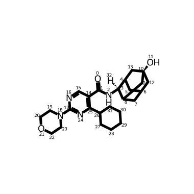 O=C(N[C@H]1C2CC3CC1C[C@@](O)(C3)C2)c1cnc(N2CCOCC2)nc1C1CCCCC1